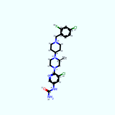 CC[C@H]1CN(c2ncc(NC(N)=O)cc2Cl)CCN1C1CCN(Cc2ccc(Cl)cc2F)CC1